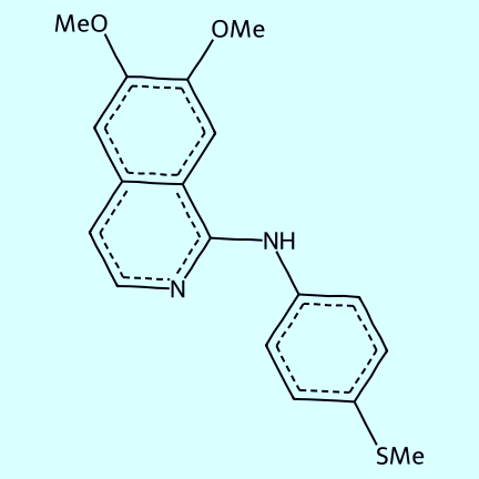 COc1cc2ccnc(Nc3ccc(SC)cc3)c2cc1OC